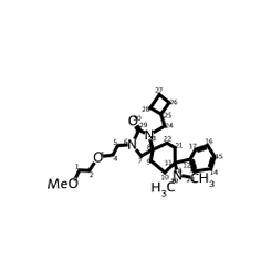 COCCOCCN1CC2(CCC(c3ccccc3)(N(C)C)CC2)N(CC2CCC2)C1=O